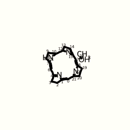 C1=C2/CCC(=N2)/C=C2/CCC(N2)C2CCC(=N2)/C=C2/CCC/1=N2.CO